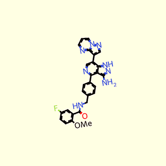 COc1ccc(F)cc1C(=O)NCc1ccc(-c2ncc(-c3cnn4cccnc34)c3[nH]nc(N)c23)cc1